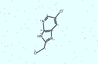 ClCc1nc2cc(Cl)cnc2[nH]1